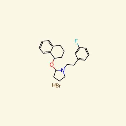 Br.Fc1cccc(CCN2CCCC2OC2CCCc3ccccc32)c1